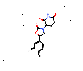 C=C/C=C\C(=C/C=C)C1CN(C2CCC(=O)NC2=O)C(=O)O1